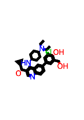 CCN(CC)[C@H]1CC[C@H](Nc2c(C(=O)C3CC3)cnc3ccc(-c4cc(Cl)c(O)c(CO)c4)cc23)CC1